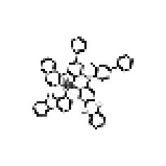 Cc1cc(-c2ccccc2)ccc1N1c2cc3c(cc2Bc2c(-c4c(Nc5cccc6c5oc5ccccc56)ccc5ccccc45)cc(-c4ccccc4)cc21)Oc1ccccc1O3